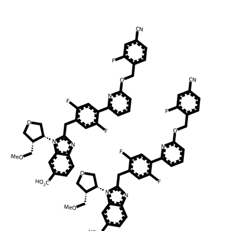 COC[C@@H]1COC[C@@H]1n1c(Cc2cc(F)c(-c3cccc(OCc4ccc(C#N)cc4F)n3)cc2F)nc2ccc(C(=O)O)cc21.COC[C@@H]1COC[C@@H]1n1c(Cc2cc(F)c(-c3cccc(OCc4ccc(C#N)cc4F)n3)cc2F)nc2ccc(C(=O)O)cc21